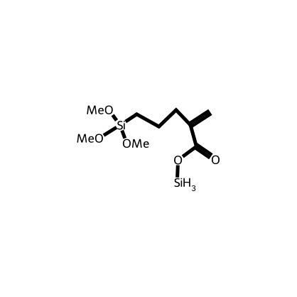 C=C(CCC[Si](OC)(OC)OC)C(=O)O[SiH3]